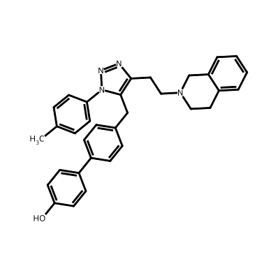 Cc1ccc(-n2nnc(CCN3CCc4ccccc4C3)c2Cc2ccc(-c3ccc(O)cc3)cc2)cc1